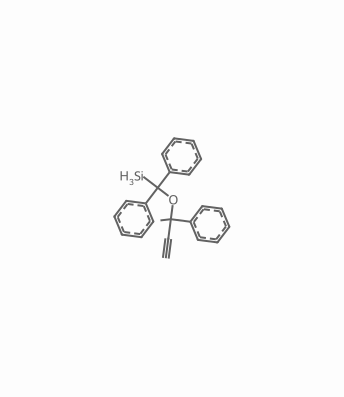 C#CC(C)(OC([SiH3])(c1ccccc1)c1ccccc1)c1ccccc1